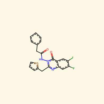 O=C(Cc1ccccc1)Nn1c(Cc2cccs2)nc2cc(F)c(F)cc2c1=O